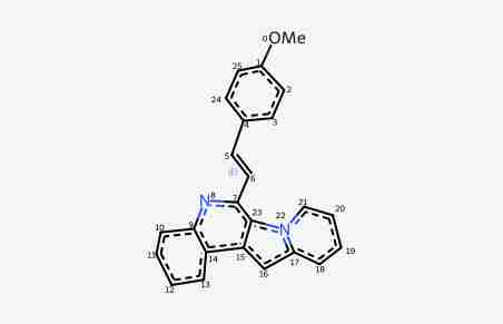 COc1ccc(/C=C/c2nc3ccccc3c3cc4ccccn4c23)cc1